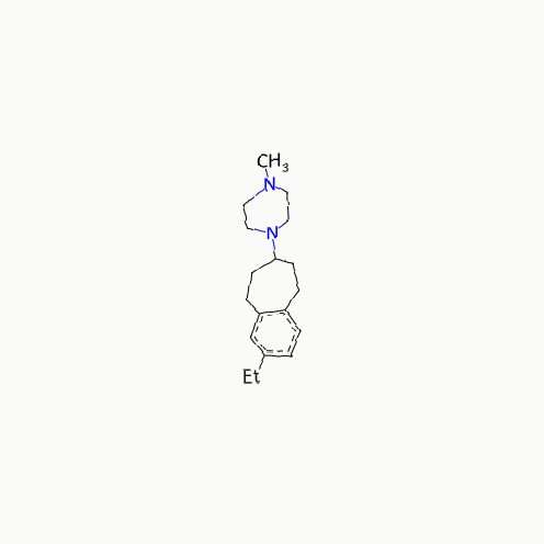 CCc1ccc2c(c1)CCC(N1CCN(C)CC1)CC2